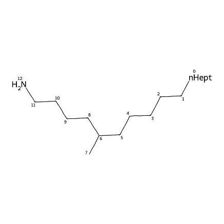 CCCCCCCCCCCCC(C)CCCCN